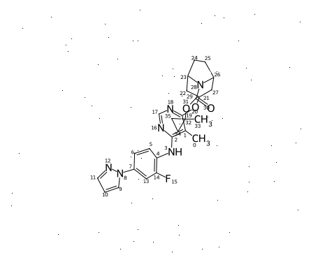 Cc1c(Nc2ccc(-n3cccn3)cc2F)ncnc1OC1CC2CCC(C1)N2C(=O)OC1(C)CC1